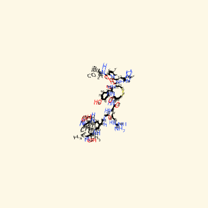 CCC(C)[C@H](NC(=O)[C@@H]1CCCN1C(=O)[C@H](Cc1cnc[nH]1)NC(=O)[C@@H]1CCSSCC[C@H](NC(=O)[C@H](CCCNC(=N)N)NC(=O)CNCCC(CCNC(C)(C)/C(C)=N\O)CCNC(C)(C)/C(C)=N\O)C(=O)N[C@@H](Cc2ccc(O)cc2)C(=O)N1)C(=O)O